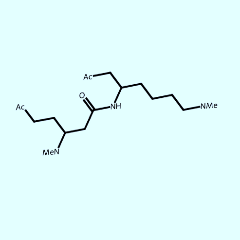 CNCCCCC(CC(C)=O)NC(=O)CC(CCC(C)=O)NC